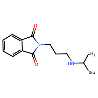 CC(NCCCN1C(=O)c2ccccc2C1=O)C(C)(C)C